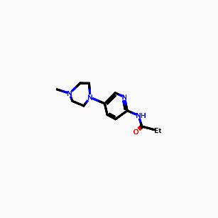 CCC(=O)Nc1ccc(N2CCN(C)CC2)cn1